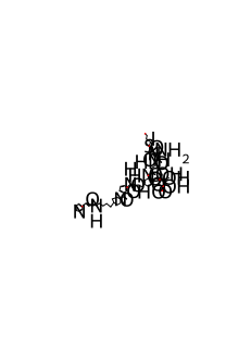 CCCC(C)(I)SC1CC(O)N(C(CN)C(=O)NCCC(=O)Nc2cc(COC(=O)Nc3cccc(C(=O)N4CCC(CCCCNC(=O)/C=C/c5cccnc5)CC4)c3)ccc2OC2OC(C(=O)O)C(O)[C@H](O)[C@@H]2O)C1=O